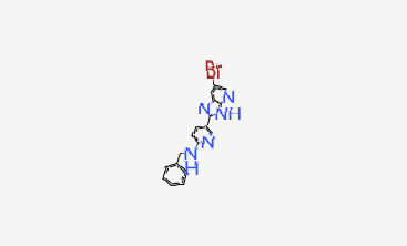 Brc1cnc2[nH]c(-c3ccc(NCc4ccccc4)nc3)nc2c1